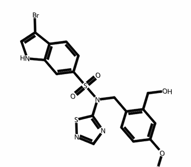 COc1ccc(CN(c2ncns2)S(=O)(=O)c2ccc3c(Br)c[nH]c3c2)c(CO)c1